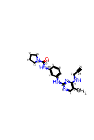 Bc1cnc(Nc2cccc(NC(=O)N3CCCC3)c2)nc1NCC#C